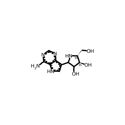 Nc1ncnc2c(C3N[C@H](CO)[C@@H](O)C3O)c[nH]c12